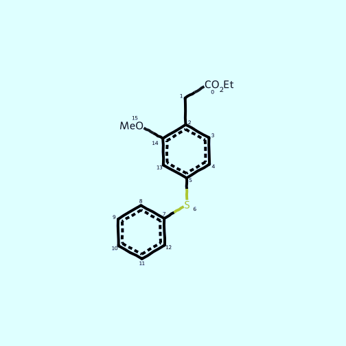 CCOC(=O)Cc1ccc(Sc2ccccc2)cc1OC